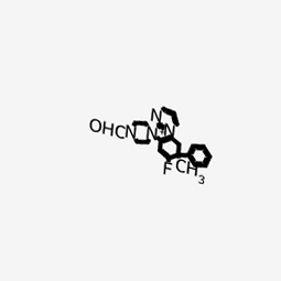 CC1(c2ccccc2)CC=C([N+]2(c3ncccn3)CCN(C=O)CC2)C=C1F